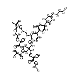 C=C(C)C(=O)OCCCc1cc(-c2ccc(C3CCC(CCCCC)CC3)cc2F)ccc1OCC(COC(=O)C(=C)C)(COC(=O)C(=O)OCC)COC(=O)C(=O)OCC